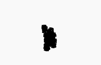 c1ccc(N(c2ccc3sc4ccccc4c3c2)c2cc3c(c4ccccc24)-c2c(cc(N(c4ccccc4)c4ccc5sc6ccccc6c5c4)c4ccccc24)C32c3ccccc3-c3ccccc32)cc1